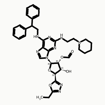 CCc1nnc([C@H]2O[C@@H](n3cnc4c(NCC(c5ccccc5)c5ccccc5)nc(NCCN5CCCCC5)nc43)[C@H](OC=O)[C@@H]2O)o1